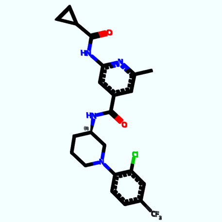 Cc1cc(C(=O)N[C@@H]2CCCN(c3ccc(C(F)(F)F)cc3Cl)C2)cc(NC(=O)C2CC2)n1